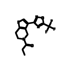 CCC(=O)N1CCc2scc(-c3noc(C(F)(F)F)n3)c2C1